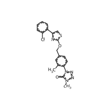 Cc1cc(COc2nc(-c3ccccc3Cl)cs2)ccc1-n1nnn(C)c1=O